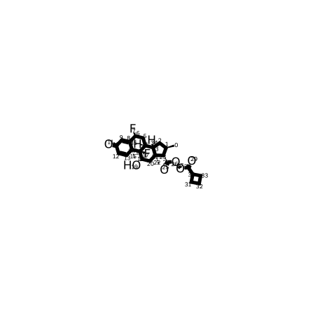 C[C@@H]1C[C@H]2[C@@H]3C[C@H](F)C4=CC(=O)C=C[C@]4(C)[C@@]3(F)[C@@H](O)C[C@]2(C)[C@H]1C(=O)OOC(=O)C1CCC1